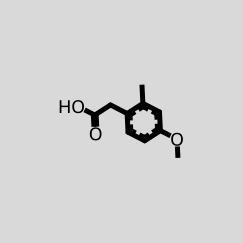 COc1ccc(CC(=O)O)c(C)c1